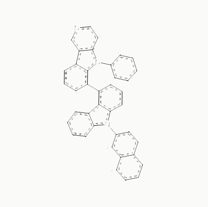 c1ccc(-n2c3ccncc3c3cccc(-c4cccc5c4c4ccccc4n5-c4ccc5ccccc5c4)c32)cc1